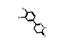 O=C1CCC(c2ccc(Br)c(Br)c2)=NN1